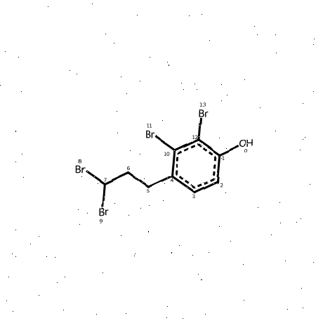 Oc1ccc(CCC(Br)Br)c(Br)c1Br